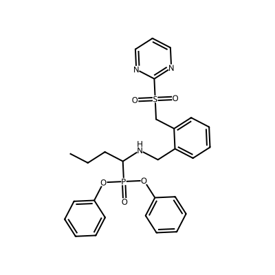 CCCC(NCc1ccccc1CS(=O)(=O)c1ncccn1)P(=O)(Oc1ccccc1)Oc1ccccc1